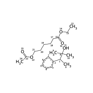 CC(c1ccccc1)C(C)(C)O.CCOC(=O)CCCCCOC(C)=O